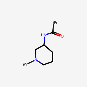 CC(C)C(=O)NC1CCCN(C(C)C)C1